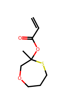 C=CC(=O)OC1(C)COCCCS1